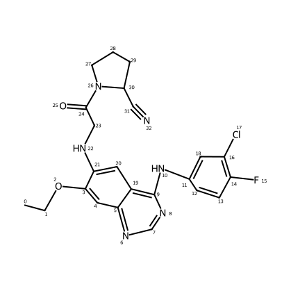 CCOc1cc2ncnc(Nc3ccc(F)c(Cl)c3)c2cc1NCC(=O)N1CCCC1C#N